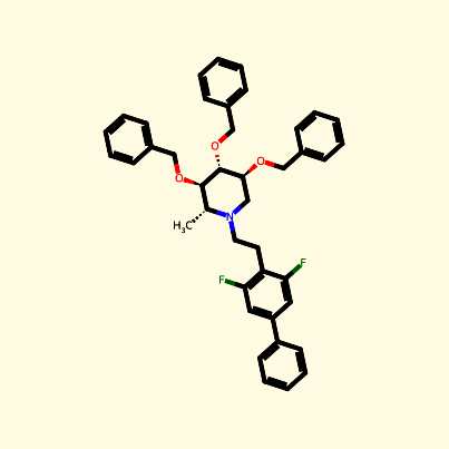 C[C@@H]1[C@@H](OCc2ccccc2)[C@H](OCc2ccccc2)[C@@H](OCc2ccccc2)CN1CCc1c(F)cc(-c2ccccc2)cc1F